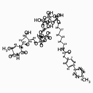 Cc1nnc(-c2ccc(CC(=O)NCCCCCCOP(=O)(O)OP(=O)(O)OP(=O)(O)OP(=O)(O)OP(=O)(O)OP(=O)(O)OC[C@H]3O[C@@H](n4cc(C)c(=O)[nH]c4=O)CC3O)cc2)nn1